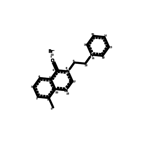 Cc1cccc2c(=O)n(CC[n+]3ccccc3)cnc12.[Br-]